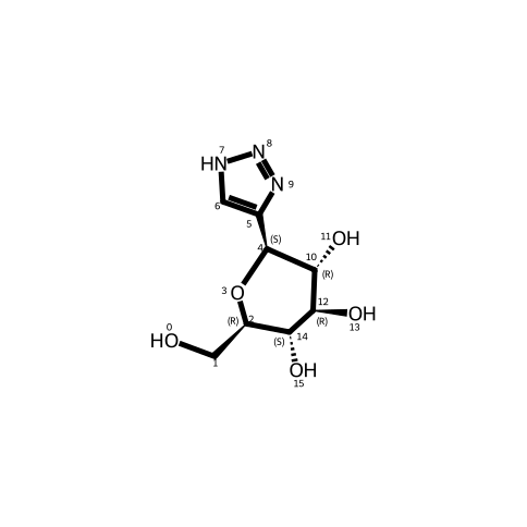 OC[C@H]1O[C@@H](c2c[nH]nn2)[C@H](O)[C@@H](O)[C@@H]1O